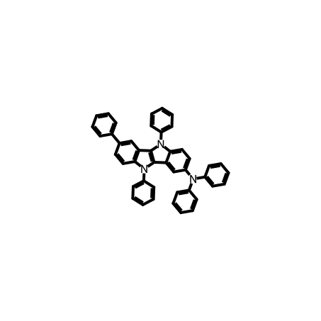 c1ccc(-c2ccc3c(c2)c2c(c4cc(N(c5ccccc5)c5ccccc5)ccc4n2-c2ccccc2)n3-c2ccccc2)cc1